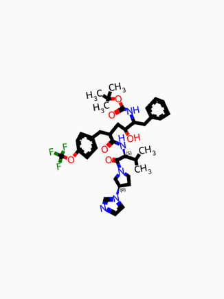 CC(C)[C@H](NC(=O)C(Cc1ccc(OC(F)(F)F)cc1)CC(O)C(Cc1ccccc1)NC(=O)OC(C)(C)C)C(=O)N1CC[C@@H](n2ccnc2)C1